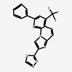 FC(F)(F)c1cc(-c2ccccc2)nc2c1ccc1nc(-c3nnco3)cn12